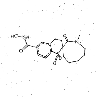 CN1CCCCCC2(CCc3cc(C(=O)NO)ccc3S2(=O)=O)C1=O